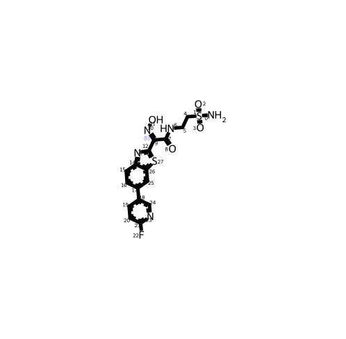 NS(=O)(=O)CCNC(=O)/C(=N\O)c1nc2ccc(-c3ccc(F)nc3)cc2s1